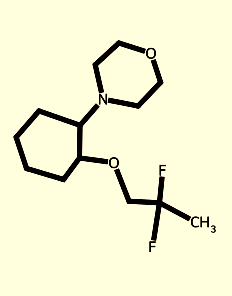 CC(F)(F)COC1CCCCC1N1CCOCC1